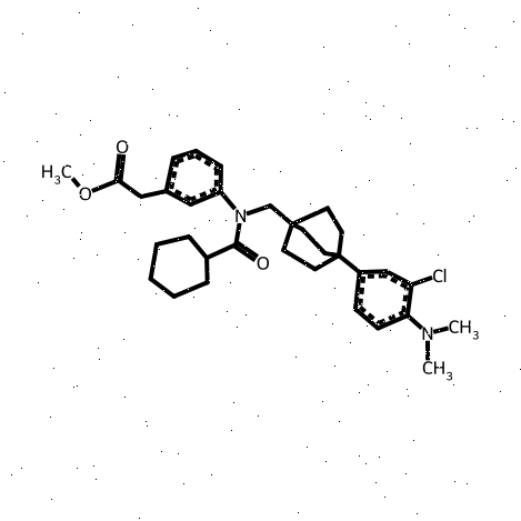 COC(=O)Cc1cccc(N(CC23CCC(c4ccc(N(C)C)c(Cl)c4)(CC2)CC3)C(=O)C2CCCCC2)c1